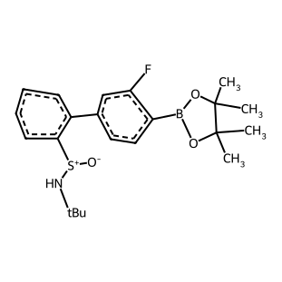 CC(C)(C)N[S+]([O-])c1ccccc1-c1ccc(B2OC(C)(C)C(C)(C)O2)c(F)c1